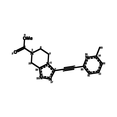 COC(=O)N1CCn2c(C#Cc3cccc(C)n3)nnc2C1